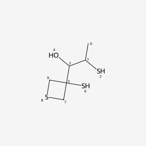 CC(S)C(O)C1(S)CSC1